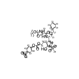 CC(C)(C)OC(=O)NC(C)(C)C(=O)N[C@H](COCc1ccccc1)c1nn(S(C)(=O)=O)c(O)c1CCOC(=O)Oc1ccc([N+](=O)[O-])cc1